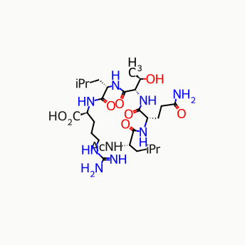 CC(=O)N[C@@H](CC(C)C)C(=O)N[C@@H](CCC(N)=O)C(=O)N[C@H](C(=O)N[C@@H](CC(C)C)C(=O)N[C@@H](CCCNC(=N)N)C(=O)O)[C@@H](C)O